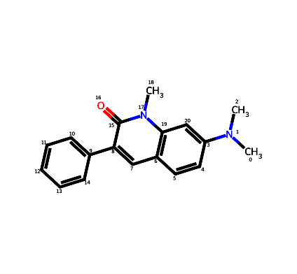 CN(C)c1ccc2cc(-c3ccccc3)c(=O)n(C)c2c1